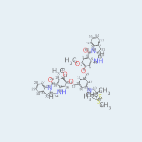 COc1cc2c(cc1OCc1cc(COc3cc4c(cc3OC)C(=O)N3c5ccccc5C[C@H]3CN4)cc(N(C)CC(C)(C)SSC)c1)NC[C@@H]1Cc3ccccc3N1C2=O